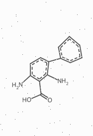 Nc1ccc(-c2ccccc2)c(N)c1C(=O)O